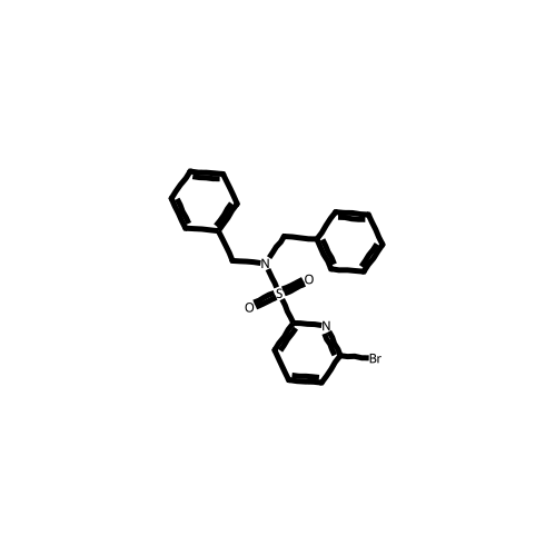 O=S(=O)(c1cccc(Br)n1)N(Cc1ccccc1)Cc1ccccc1